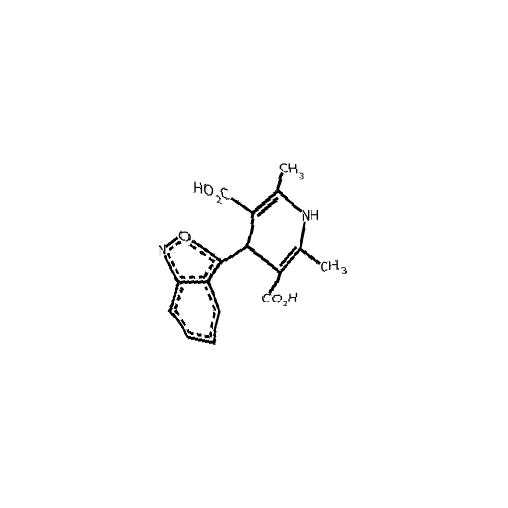 CC1=C(C(=O)O)C(c2onc3ccccc23)C(C(=O)O)=C(C)N1